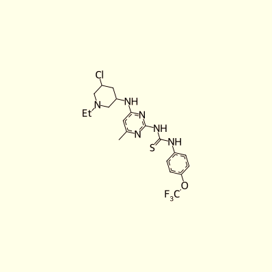 CCN1CC(Cl)CC(Nc2cc(C)nc(NC(=S)Nc3ccc(OC(F)(F)F)cc3)n2)C1